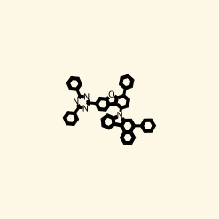 c1ccc(-c2nc(-c3ccccc3)nc(-c3ccc4c(c3)oc3c(-c5ccccc5)ccc(-n5c6ccccc6c6c7ccccc7c(-c7ccccc7)cc65)c34)n2)cc1